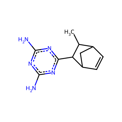 CC1C2C=CC(C2)C1c1nc(N)nc(N)n1